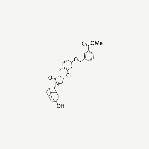 COC(=O)c1cccc(COc2ccc(CC3CCN(C4C5CC6CC4CC(O)(C6)C5)C3=O)c(Cl)c2)c1